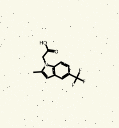 Cc1cc2cc(C(F)(F)F)ccc2n1CC(=O)O